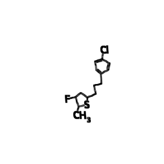 CC1SC(CCCc2ccc(Cl)cc2)CC1F